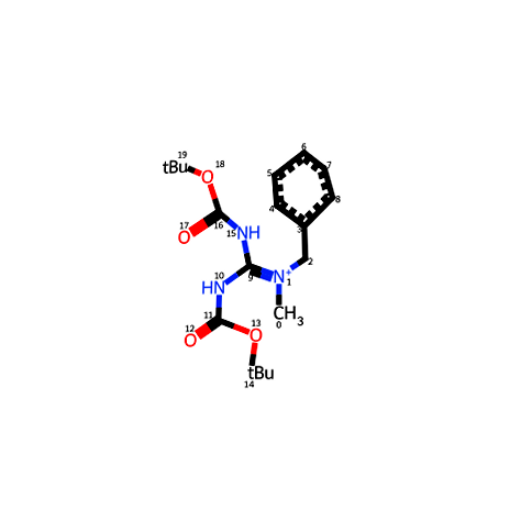 C[N+](Cc1ccccc1)=C(NC(=O)OC(C)(C)C)NC(=O)OC(C)(C)C